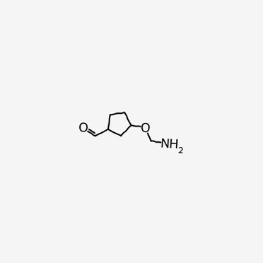 NCOC1CCC(C=O)C1